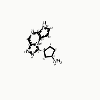 N[C@@H]1CC[C@@H](c2nnc3cnc4[nH]ccc4n23)C1